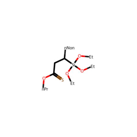 CCCCCCCCCC(CC(=S)OCCC)[Si](OCC)(OCC)OCC